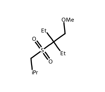 CCC(CC)(COC)S(=O)(=O)CC(C)C